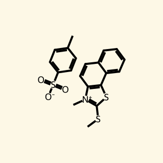 CSc1sc2c3ccccc3ccc2[n+]1C.Cc1ccc(S(=O)(=O)[O-])cc1